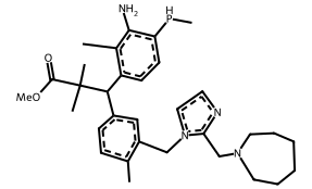 COC(=O)C(C)(C)C(c1ccc(C)c(Cn2ccnc2CN2CCCCCC2)c1)c1ccc(PC)c(N)c1C